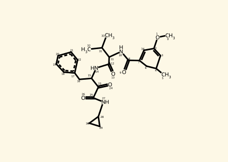 COC1=CC(C)CC(C(=O)NC(C(=O)NC(Cc2ccccc2)C(=O)C(=O)NC2CC2)C(C)C)=C1